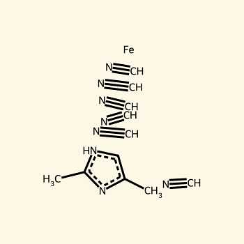 C#N.C#N.C#N.C#N.C#N.C#N.Cc1c[nH]c(C)n1.[Fe]